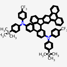 C[Si](C)(C)c1ccc(N(c2ccc(-c3ccc(N(c4ccc(C(F)(F)F)cc4)c4ccc([Si](C)(C)C)cc4)cc3C3c4ccccc4-c4cc5c6ccccc6c6ccccc6c5cc43)cc2)c2ccc(C(F)(F)F)cc2)cc1